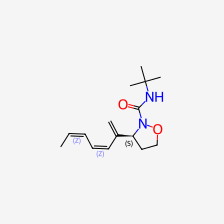 C=C(/C=C\C=C/C)[C@@H]1CCON1C(=O)NC(C)(C)C